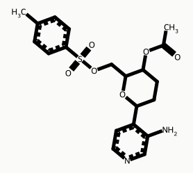 CC(=O)OC1CCC(c2ccncc2N)OC1COS(=O)(=O)c1ccc(C)cc1